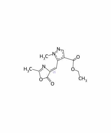 CCOC(=O)c1cnn(C)c1/C=C1\N=C(C)OC1=O